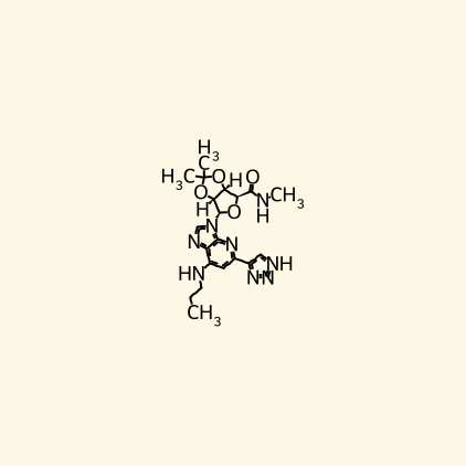 CCCNc1cc(-c2c[nH]nn2)nc2c1ncn2[C@@H]1O[C@H](C(=O)NC)[C@H]2OC(C)(C)O[C@H]21